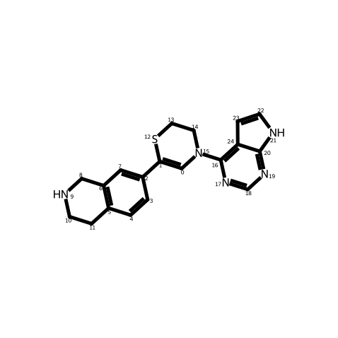 C1=C(c2ccc3c(c2)CNCC3)SCCN1c1ncnc2[nH]ccc12